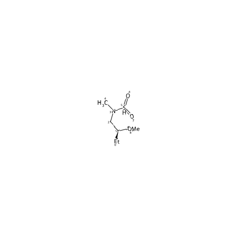 CC[C@@H](CN(C)[SH](=O)=O)OC